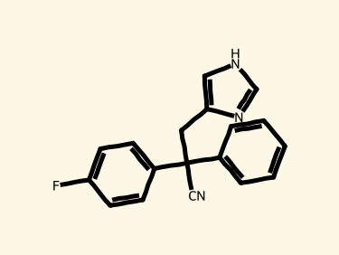 N#CC(Cc1c[nH]cn1)(c1ccccc1)c1ccc(F)cc1